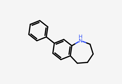 c1ccc(-c2ccc3c(c2)NCCCC3)cc1